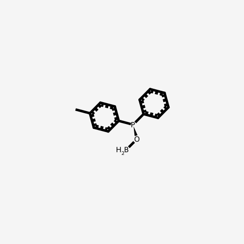 BO[P@](c1ccccc1)c1ccc(C)cc1